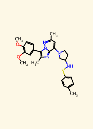 COc1ccc(-c2c(C)nc3c(N4CCC(NSc5ccc(C)cc5)C4)cc(C)nn23)cc1OC